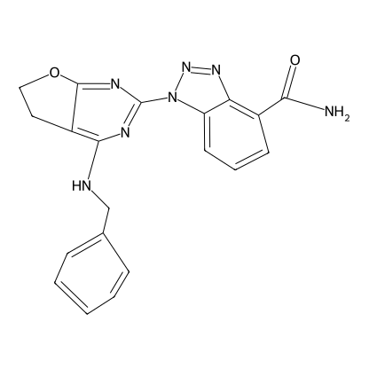 NC(=O)c1cccc2c1nnn2-c1nc(NCc2ccccc2)c2c(n1)OCC2